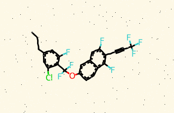 CCCc1cc(F)c(C(F)(F)Oc2ccc3c(F)c(C#CC(F)(F)F)c(F)cc3c2)c(Cl)c1